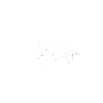 OC(c1cccc(Br)c1)(c1cccc(-c2ccc3ccc4cccc5ccc2c3c45)c1)c1ccccc1-c1ccccc1